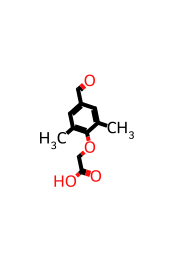 Cc1cc(C=O)cc(C)c1OCC(=O)O